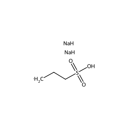 [CH2]CCS(=O)(=O)O.[NaH].[NaH]